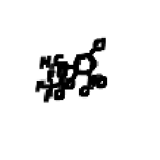 COc1cc(Cl)cc([N+](=O)[O-])c1OS(=O)(=O)C(F)(F)F